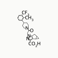 Cc1c(C2CCN(C(=O)Cn3nc(C(=O)O)c4c3CC3CC43)CC2)cccc1C(F)(F)F